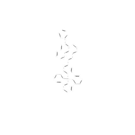 c1ccc(C2(c3ccccc3)c3ccccc3-c3cc(-c4cc5cccc6c7c8ccccc8oc7c7cccc4c7c56)ccc32)cc1